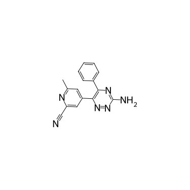 Cc1cc(-c2nnc(N)nc2-c2ccccc2)cc(C#N)n1